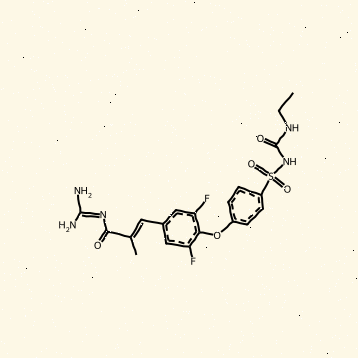 CCNC(=O)NS(=O)(=O)c1ccc(Oc2c(F)cc(/C=C(\C)C(=O)N=C(N)N)cc2F)cc1